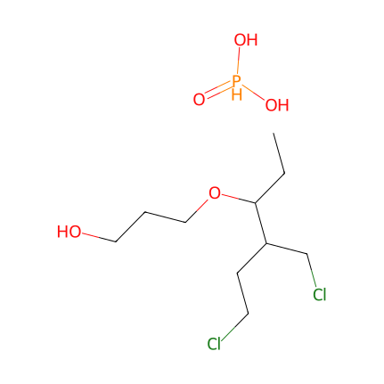 CCC(OCCCO)C(CCl)CCCl.O=[PH](O)O